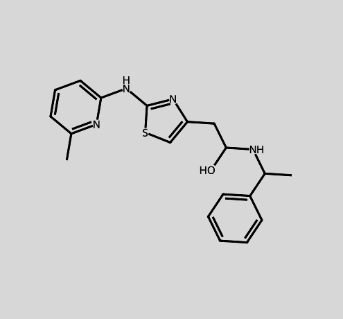 Cc1cccc(Nc2nc(CC(O)NC(C)c3ccccc3)cs2)n1